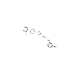 COc1cnccc1[C@H]1CC[C@@H](N2CC(NC(=O)CNC(=O)c3cccc(C(F)(F)F)c3)C2)CC1